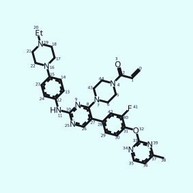 C=CC(=O)N1CCN(c2nc(Nc3ccc(N4CCN(CC)CC4)cc3)ncc2-c2ccc(Oc3nccc(C)n3)c(F)c2)CC1